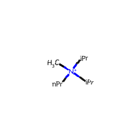 CCC[N+](C)(C(C)C)C(C)C